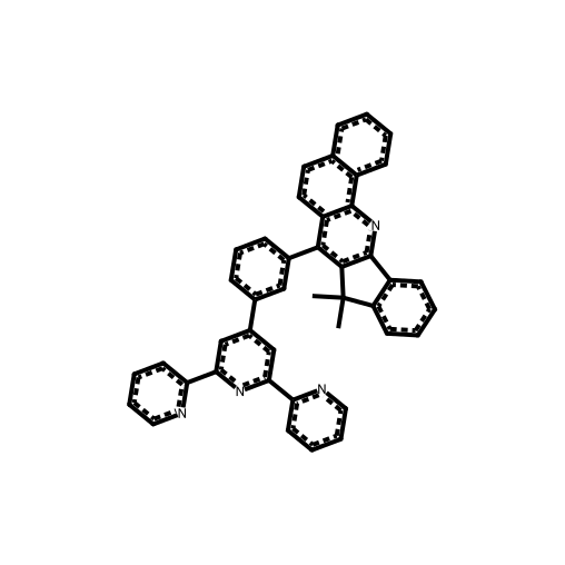 CC1(C)c2ccccc2-c2nc3c(ccc4ccccc43)c(-c3cccc(-c4cc(-c5ccccn5)nc(-c5ccccn5)c4)c3)c21